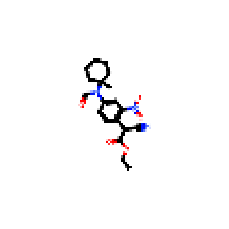 CCOC(=O)C(C#N)c1ccc(N(C=O)C2(C)CCCCC2)cc1[N+](=O)[O-]